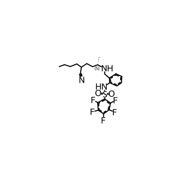 CCCCC(C#N)CC[C@H](C)NCc1ccccc1NS(=O)(=O)c1c(F)c(F)c(F)c(F)c1F